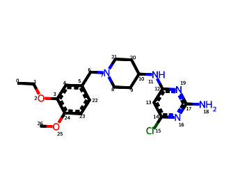 CCOc1cc(CN2CCC(Nc3cc(Cl)nc(N)n3)CC2)ccc1OC